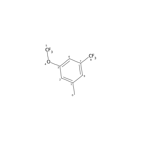 Cc1cc(OC(F)(F)F)cc(C(F)(F)F)c1